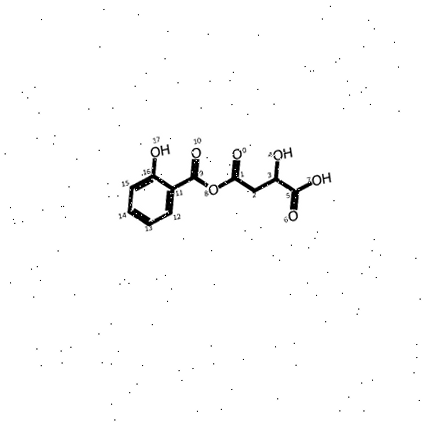 O=C(CC(O)C(=O)O)OC(=O)c1ccccc1O